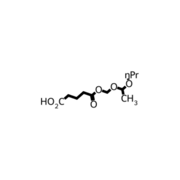 CCCOC(C)OCOC(=O)CCCC(=O)O